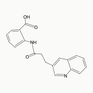 O=C(CCc1cnc2ccccc2c1)Nc1ccccc1C(=O)O